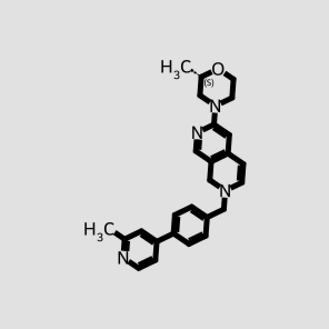 Cc1cc(-c2ccc(CN3C=Cc4cc(N5CCO[C@@H](C)C5)ncc4C3)cc2)ccn1